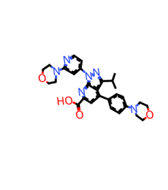 CC(C)c1nn(-c2ccnc(N3CCOCC3)c2)c2nc(C(=O)O)cc(-c3ccc(N4CCOCC4)cc3)c12